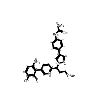 COCCC(c1ccc(-c2c(N)ccc(Cl)c2F)cn1)n1cc(-c2ccc(NC(=O)OC)cc2)cn1